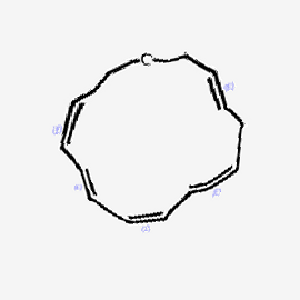 [CH]1/C=C/C/C=C/C=C\C=C\C=C/CC1